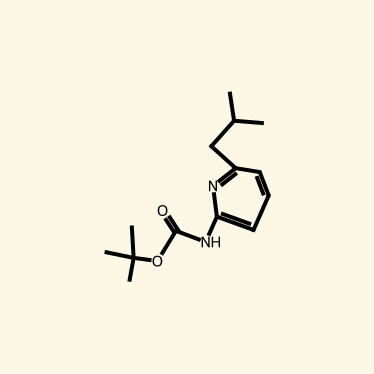 CC(C)Cc1cccc(NC(=O)OC(C)(C)C)n1